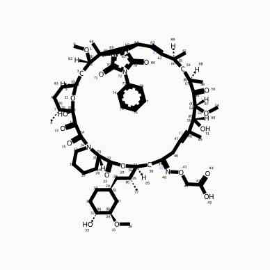 CO[C@H]1C[C@@H]2CC[C@@H](C)[C@@](O)(O2)C(=O)C(=O)N2CCCC[C@H]2C(=O)O[C@H]([C@H](C)C[C@@H]2CC[C@@H](O)[C@H](OC)C2)C/C(=N/OCC(=O)O)C/C=C(\C)[C@@H](O)[C@@H](OC)C(=O)[C@H](C)C[C@H](C)/C=C/C2C=CC1(C)n1c(=O)n(-c3ccccc3)c(=O)n12